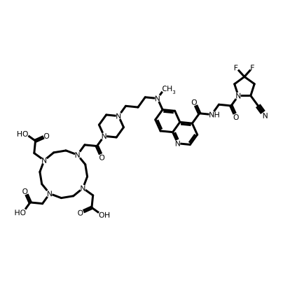 CN(CCCN1CCN(C(=O)CN2CCN(CC(=O)O)CCN(CC(=O)O)CCN(CC(=O)O)CC2)CC1)c1ccc2nccc(C(=O)NCC(=O)N3CC(F)(F)CC3C#N)c2c1